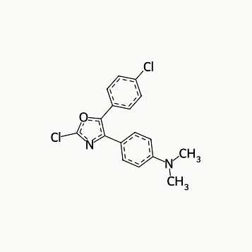 CN(C)c1ccc(-c2nc(Cl)oc2-c2ccc(Cl)cc2)cc1